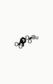 CCC(C)C(=O)OC1CC2CCC3(COC(=O)C23)C1